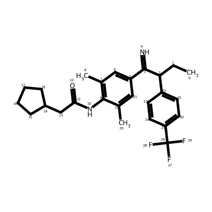 CCC(C(=N)c1cc(C)c(NC(=O)CC2CCCC2)c(C)c1)c1ccc(C(F)(F)F)cc1